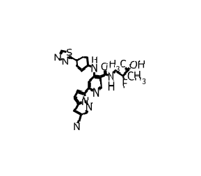 CC(C)(O)C(F)CNC(=O)c1cnc(-c2ccc3cc(C#N)cnn23)cc1NC1CCC(c2nncs2)CC1